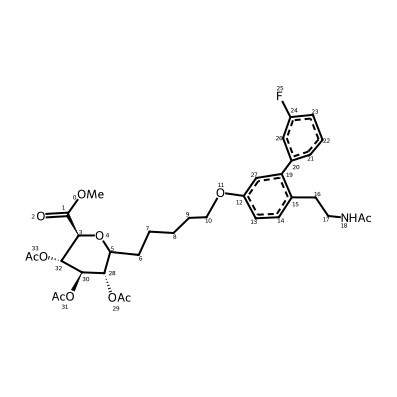 COC(=O)[C@H]1OC(CCCCCOc2ccc(CCNC(C)=O)c(-c3cccc(F)c3)c2)[C@H](OC(C)=O)[C@@H](OC(C)=O)[C@@H]1OC(C)=O